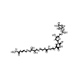 CCCCNC(=O)CC=CCSCC(O)C(O)CSSCCC(=O)NC/C=C/c1cn([C@H]2C[C@@H](O)[C@@H](COP(=O)(O)OP(=O)(O)OP(=O)(O)O)O2)c(=O)[nH]c1=O